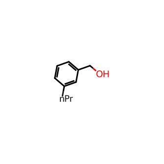 CCCc1cccc(CO)c1